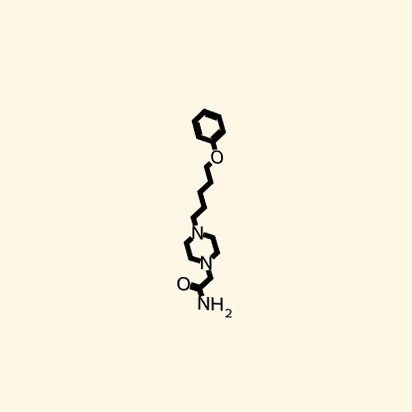 NC(=O)CN1CCN(CCCCCOc2ccccc2)CC1